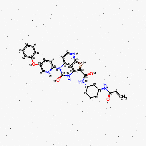 C=CC(=O)N[C@H]1CCC[C@H](NC(=O)c2sc3nccc4c3c2NC(=O)N4c2ccc(Oc3ccccc3)cn2)C1